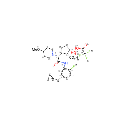 COC1CCN(C(C(=O)Nc2cc(CC3CC3)ccc2F)C2CCCC2)CC1.O=C(O)C(F)(F)F.O=C(O)O